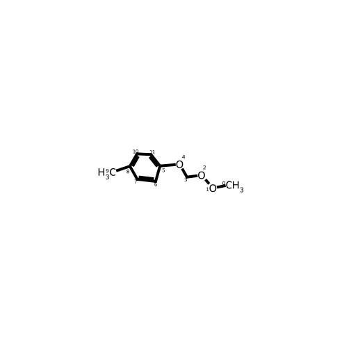 COOCOc1ccc(C)cc1